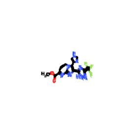 COC(=O)c1ccn2c(-c3c[nH]cn3)c(-c3nc(C(F)(F)F)n[nH]3)nc2n1